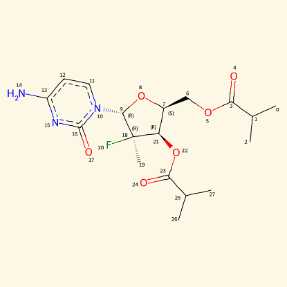 CC(C)C(=O)OC[C@@H]1O[C@@H](n2ccc(N)nc2=O)[C@](C)(F)[C@@H]1OC(=O)C(C)C